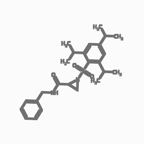 CC(C)c1cc(C(C)C)c(S(=O)(=O)N2CC2C(=O)NCc2ccccc2)c(C(C)C)c1